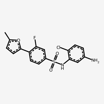 Cc1ccc(-c2ccc(S(=O)(=O)Nc3cc(N)ccc3Cl)cc2F)o1